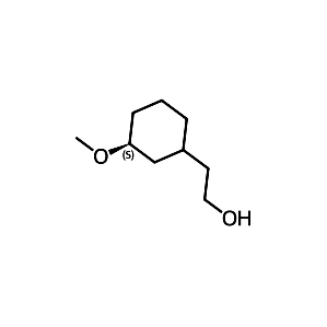 CO[C@H]1CCCC(CCO)C1